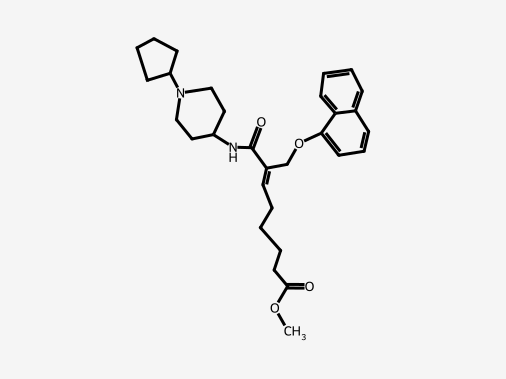 COC(=O)CCCC/C=C(\COc1cccc2ccccc12)C(=O)NC1CCN(C2CCCC2)CC1